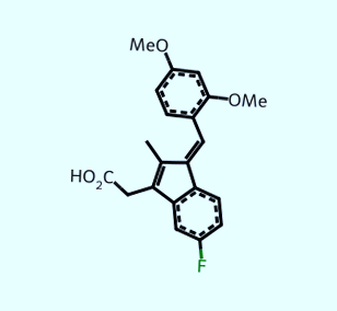 COc1ccc(C=C2C(C)=C(CC(=O)O)c3cc(F)ccc32)c(OC)c1